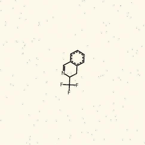 FC(F)(F)C1Cc2ccccc2C=N1